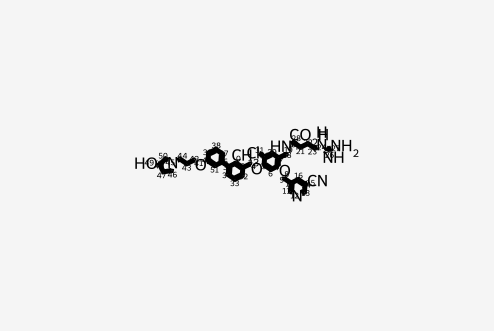 Cc1c(COc2cc(OCc3cncc(C#N)c3)c(CN[C@@H](CCCNC(=N)N)C(=O)O)cc2Cl)cccc1-c1cccc(OCCCN2CC[C@H](O)C2)c1